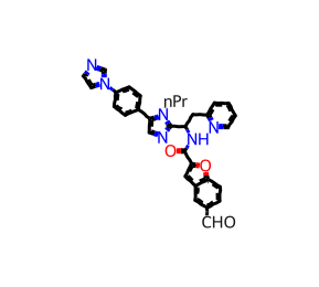 CCCn1c(-c2ccc(-n3ccnc3)cc2)cnc1C(Cc1ccccn1)NC(=O)c1cc2cc(C=O)ccc2o1